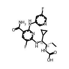 CC[C@H](NC(=O)O)[C@@H](Nc1nc(Nc2cncc(F)c2)c(C(N)=O)cc1F)C1CC1